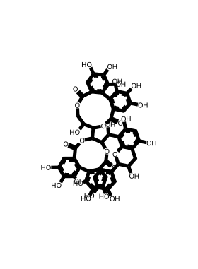 O=C1OCC(O)C(C2OC(=O)c3cc(O)c(O)c(O)c3-c3c(cc(O)c(O)c3O)C(=O)OC2C(O)c2c(O)cc(O)c3c2OC(c2ccc(O)c(O)c2)C(O)C3)OC(=O)c2cc(O)c(O)c(O)c2-c2c1cc(O)c(O)c2O